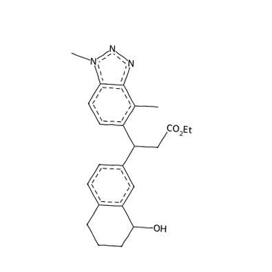 CCOC(=O)CC(c1ccc2c(c1)C(O)CCC2)c1ccc2c(nnn2C)c1C